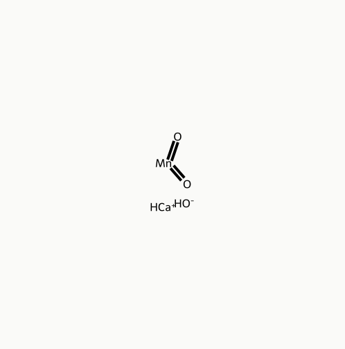 [CaH+].[OH-].[O]=[Mn]=[O]